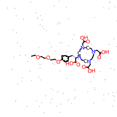 CCOCCOCCOc1ccc(C[C@@H](C(=O)O)N2CCN(CC(=O)O)CCN(CC(=O)O)CCN(CC(=O)O)CC2)cc1